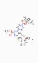 COC(=O)c1nc(N2CCN(C(=O)OC(C)(C)C)CC2)c2cc(Cl)c(-c3c(F)cccc3OC)c(F)c2n1